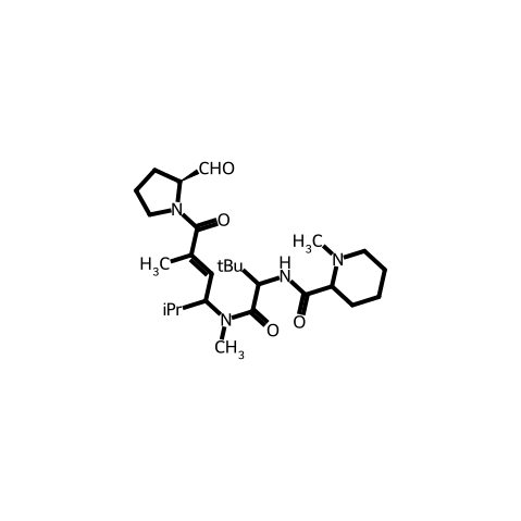 C/C(=C\C(C(C)C)N(C)C(=O)C(NC(=O)C1CCCCN1C)C(C)(C)C)C(=O)N1CCC[C@H]1C=O